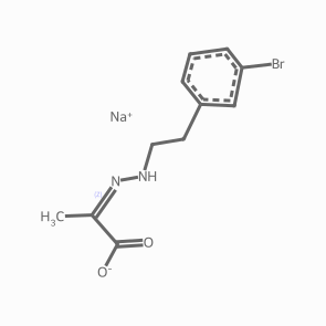 C/C(=N/NCCc1cccc(Br)c1)C(=O)[O-].[Na+]